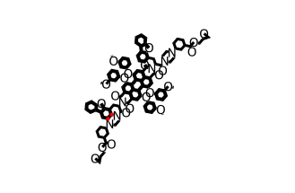 COc1cccc(Oc2cc3c4c(cc(Oc5cccc(OC)c5)c5c6c(Oc7cccc(OC)c7)cc7c8c(cc(Oc9cccc(OC)c9)c(c2c45)c86)C(=O)N(C(Cc2cccc4c2oc2ccccc24)C(=O)N2CCN(C4CCCC(C(=O)OCC5CO5)C4)CC2)C7=O)C(=O)N(C(Cc2cccc4c2oc2ccccc24)C(=O)N2CCN(C4CCCC(C(=O)OCC5CO5)C4)CC2)C3=O)c1